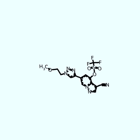 COCCn1cc(-c2cc(OS(=O)(=O)C(F)(F)F)c3c(C#N)cnn3c2)nn1